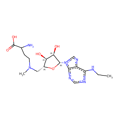 CCNc1ncnc2c1ncn2[C@@H]1O[C@H](CN(C)CCC(N)C(=O)O)[C@@H](O)[C@H]1O